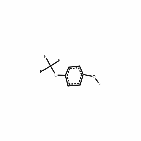 FOc1ccc(OC(F)(F)F)cc1